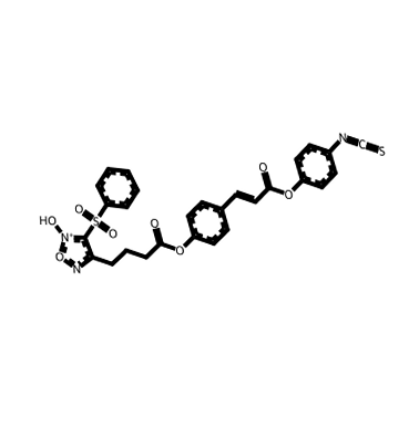 O=C(/C=C/c1ccc(OC(=O)CCCc2no[n+](O)c2S(=O)(=O)c2ccccc2)cc1)Oc1ccc(N=C=S)cc1